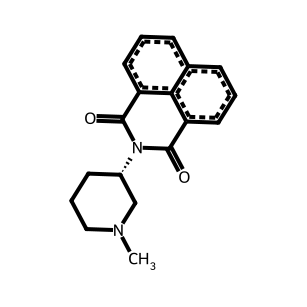 CN1CCC[C@H](N2C(=O)c3cccc4cccc(c34)C2=O)C1